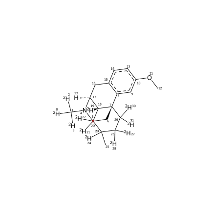 [2H]C([2H])([2H])N1CC[C@]23c4cc(OC)ccc4C[C@H]1[C@@]2([2H])C([2H])([2H])C([2H])(C)C([2H])([2H])C3([2H])[2H]